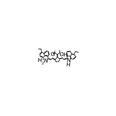 CCc1ccc(C)c2c(\C(N)=C/C=C3\CCC(=C/C=c4/[nH]c5ccc(CC)c6cccc4c56)\C3=C(\C(C)=O)C(C)O)cccc12